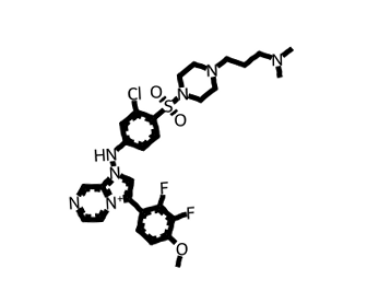 COc1ccc(-c2cn(Nc3ccc(S(=O)(=O)N4CCN(CCCN(C)C)CC4)c(Cl)c3)c3cncc[n+]23)c(F)c1F